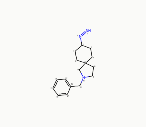 N=NC1CCC2(CC1)CCN(Cc1ccccc1)C2